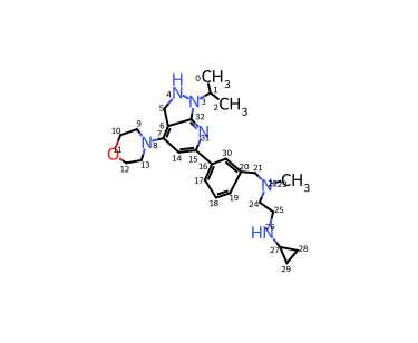 CC(C)N1NCc2c(N3CCOCC3)cc(-c3cccc(CN(C)CCNC4CC4)c3)nc21